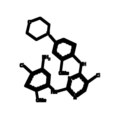 COc1cc(Cl)c(N)cc1Nc1ncc(Cl)c(Nc2ccc(N3CCOCC3)cc2OC)n1